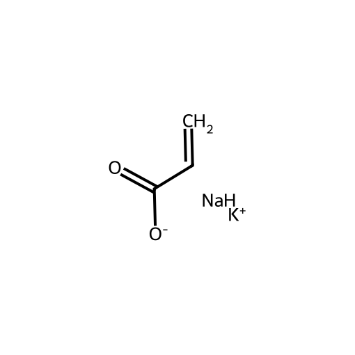 C=CC(=O)[O-].[K+].[NaH]